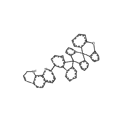 C1=Cc2ccc3ccc(-c4cccc5c4-c4ccccc4C54c5ccccc5C5(c6ccccc6Oc6ccccc65)c5ccccc54)nc3c2NC1